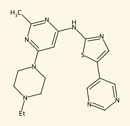 CCN1CCN(c2cc(Nc3ncc(-c4cncnc4)s3)nc(C)n2)CC1